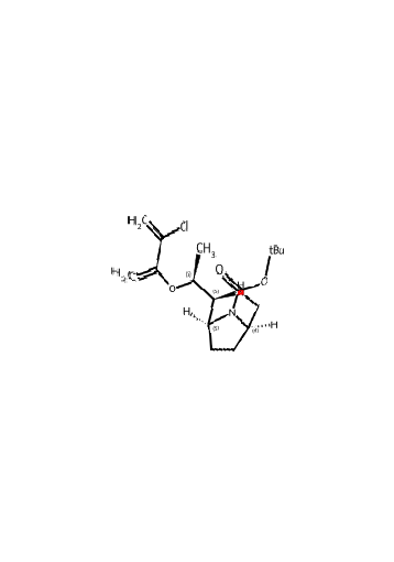 C=C(Cl)C(=C)O[C@@H](C)[C@H]1NC[C@H]2CC[C@@H]1N2C(=O)OC(C)(C)C